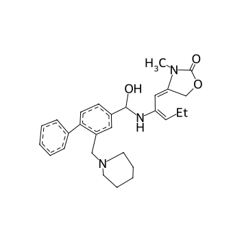 CC/C=C(\C=C1/COC(=O)N1C)NC(O)c1ccc(-c2ccccc2)c(CN2CCCCC2)c1